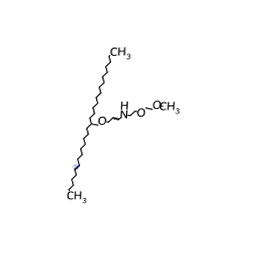 CCCCC/C=C/CCCCCCCC(CCCCCCCCCCCCCC)COCC=CNCCOCCOC